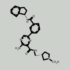 Nc1ncc(-c2cccc(C(=O)N[C@H]3CCc4ccccc43)c2)nc1C(=O)NC[C@@H]1CCN(C(=O)O)C1